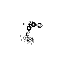 CC(COc1ccc(C(C)(O)c2ccc(N3CCOCC3)cc2)cc1)O[Si](C)(C)C(C)(C)C